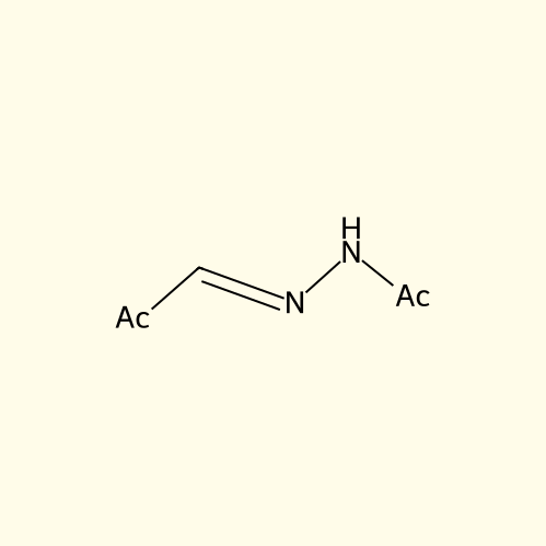 CC(=O)/C=N/NC(C)=O